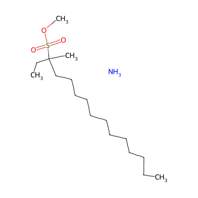 CCCCCCCCCCCCC(C)(CC)S(=O)(=O)OC.N